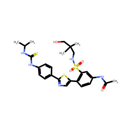 CC(=O)Nc1ccc(-c2cnc(-c3ccc(NC(=S)NC(C)C)cc3)s2)c(S(=O)(=O)NCC(C)(C)CO)c1